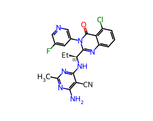 CC[C@H](Nc1nc(C)nc(N)c1C#N)c1nc2cccc(Cl)c2c(=O)n1-c1cncc(F)c1